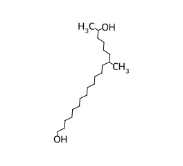 CC(O)CCCCC(C)CCCCCCCCCCCCCO